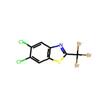 Clc1cc2nc(C(Br)(Br)Br)sc2cc1Cl